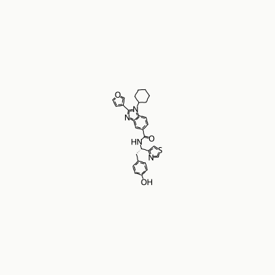 O=C(N[C@@H](Cc1ccc(O)cc1)c1cscn1)c1ccc2c(c1)nc(-c1ccoc1)n2C1CCCCC1